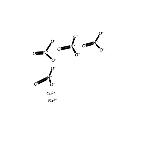 O=[N+]([O-])[O-].O=[N+]([O-])[O-].O=[N+]([O-])[O-].O=[N+]([O-])[O-].[Ba+2].[Cu+2]